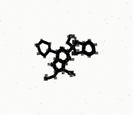 CCC1(c2nc(N3CCOCC3)c3nc(CBr)n(C)c3n2)Nc2ccccc2N1